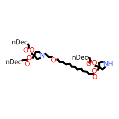 CCCCCCCCCCCC(=O)OCC1(COC(=O)CCCCCCCCCCCCOCCCN2CCC(COC(=O)CCCCCCCCCCC)(COC(=O)CCCCCCCCCCC)CC2)CCNCC1